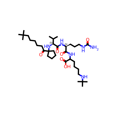 CC(C)[C@H](NC1(C(=O)CCCCCC(C)(C)C)CCCC1)C(=O)N[C@@H](CCCNC(N)=O)C(=O)NC(CCCCNC(C)(C)C)C(=O)O